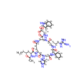 CCCC[C@H](NC(C)=O)C(=O)N[C@H]1CCC(=O)NC[C@@H](C(=O)N[C@@H](Cc2c[nH]c3ccccc23)C(=O)O)NC(=O)[C@H](CCCNC(=N)N)NC(=O)C(c2ccccc2)NC(=O)[C@H](Cc2c[nH]cn2)NC1=O